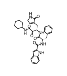 O=C(NC1CCCCC1)C(=O)[C@H](CC1=CCNC1=O)NC(=O)[C@H](Cc1ccccc1)NC(=O)c1cc2ccccc2[nH]1